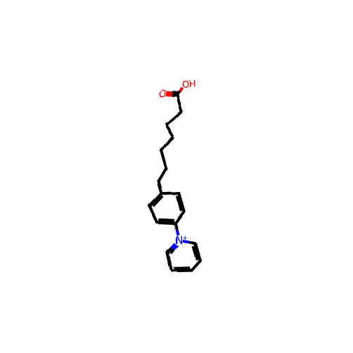 O=C(O)CCCCCCc1ccc(-[n+]2ccccc2)cc1